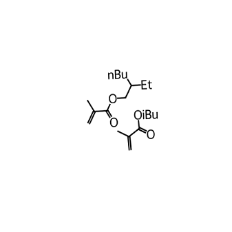 C=C(C)C(=O)OCC(C)C.C=C(C)C(=O)OCC(CC)CCCC